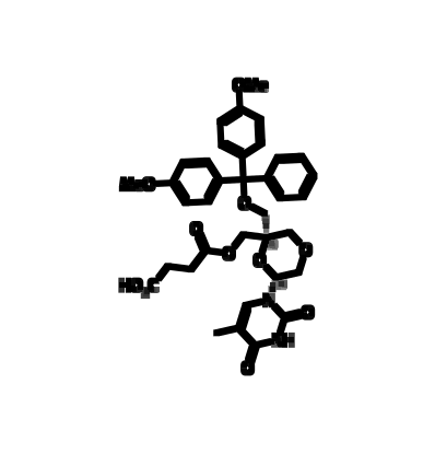 COc1ccc(C(OC[C@]2(COC(=O)CCC(=O)O)COC[C@H](n3cc(C)c(=O)[nH]c3=O)O2)(c2ccccc2)c2ccc(OC)cc2)cc1